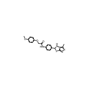 COc1ccc(OCC(=O)Nc2ccc(C3Nn4c(C)nnc4S3)cc2)cc1